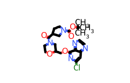 CC(C)(C)OC(=O)N1CCC(C(=O)N2CCOC(COc3nc(Cl)cc4nccnc34)C2)C1